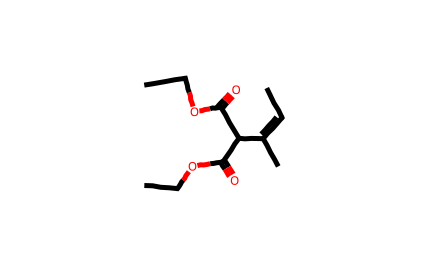 C/C=C(/C)C(C(=O)OCC)C(=O)OCC